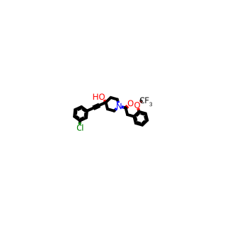 O=C(Cc1ccccc1OC(F)(F)F)N1CCC(O)(C#Cc2cccc(Cl)c2)CC1